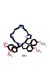 COc1ccc(Cc2c(Cc3ccc(OC)cc3)c3c(Cc4ccc(OC)cc4)c4nc(cc5ccc(cc6nc(cc2n3Cc2ccc(OC)cc2)C=C6)[nH]5)C=C4)cc1.[Mn]